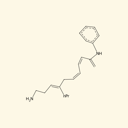 C=C(/C=C\C=C/C/C(=C/CCN)CCC)Nc1ccccc1